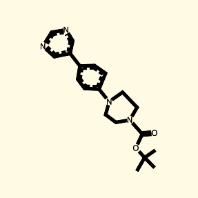 CC(C)(C)OC(=O)N1CCN(c2ccc(-c3cncnc3)cc2)CC1